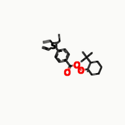 C=C[Si](C=C)(CC)c1ccc(C(=O)OO[C]2CCCCC2C(C)(C)C)cc1